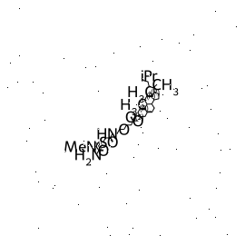 CN[C@@H](CSCC(=O)NCCOCCC(=O)O[C@H]1CC[C@@]2(C)C(=CCC3C2CC[C@@]2(C)C3CC[C@@H]2C(C)CCCC(C)C)C1)C(N)=O